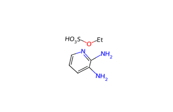 CCOS(=O)(=O)O.Nc1cccnc1N